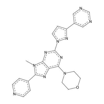 Cn1c(-c2ccncc2)nc2c(N3CCOCC3)nc(-n3ccc(-c4cncnc4)n3)nc21